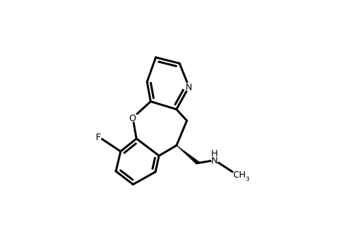 CNC[C@@H]1Cc2ncccc2Oc2c(F)cccc21